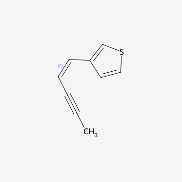 CC#C/C=C\c1ccsc1